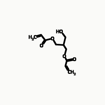 C=CC(=O)OCC(CO)COC(=O)C=C